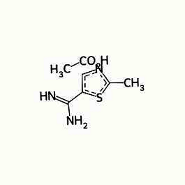 CC(=O)O.Cc1ncc(C(=N)N)s1